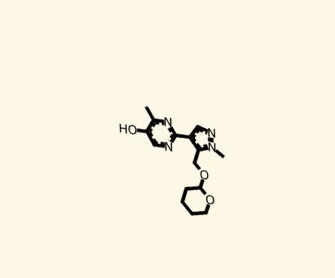 Cc1nc(-c2cnn(C)c2COC2CCCCO2)ncc1O